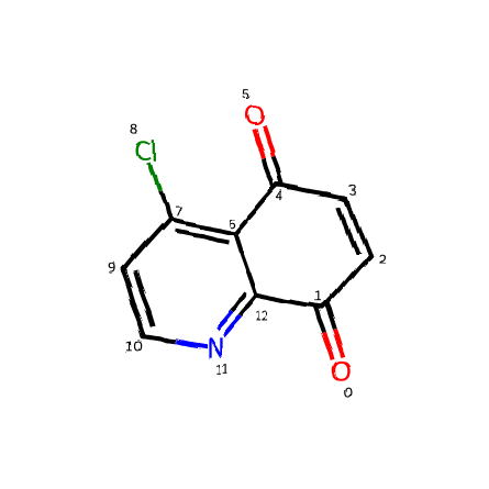 O=C1C=CC(=O)c2c(Cl)ccnc21